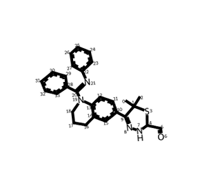 CC1(C)SC(C=O)NN=C1c1ccc2c(c1)CCCN2C(=Nc1ccccc1)c1ccccc1